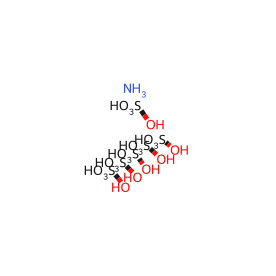 N.O=S(=O)(O)O.O=S(=O)(O)O.O=S(=O)(O)O.O=S(=O)(O)O.O=S(=O)(O)O.O=S(=O)(O)O